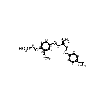 C=C(COc1ccc(C(F)(F)F)cc1)CSc1ccc(OCC(=O)O)c(OCC)c1